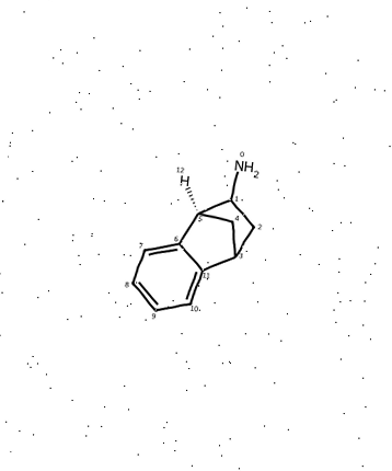 NC1CC2C[C@H]1c1ccccc12